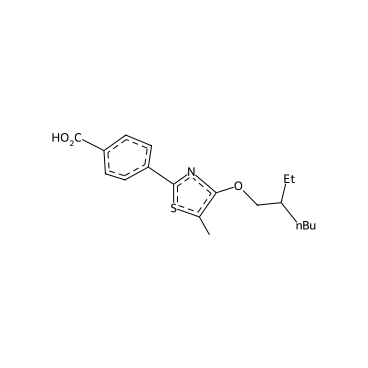 CCCCC(CC)COc1nc(-c2ccc(C(=O)O)cc2)sc1C